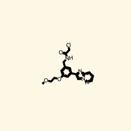 COCCOc1cc(CNC(=O)CCl)cc(-c2cn3ncccc3n2)c1